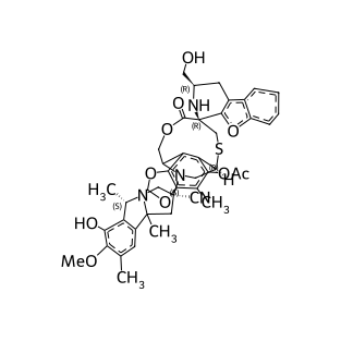 COc1c(C)cc2c(c1O)[C@H](C)N1C[C@@](C#N)(N3C[C@@H]4SC[C@]5(N[C@@H](CO)Cc6c5oc5ccccc65)C(=O)OCC3c3c5c(c(C)c(OC(C)=O)c34)OCO5)CC21C